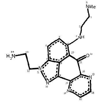 CNCCNc1ccc2c3c(nn2CCN)-c2nccnc2C(=O)c13